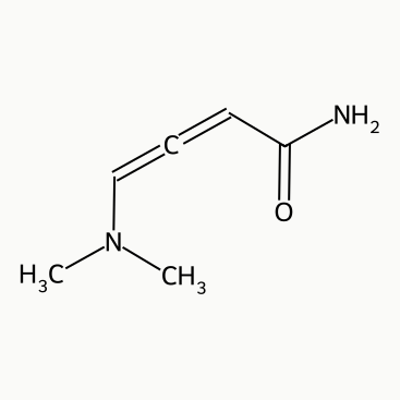 CN(C)C=C=CC(N)=O